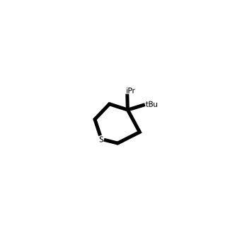 CC(C)C1(C(C)(C)C)CCSCC1